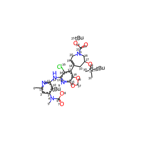 Cc1cc(N(C)C(=O)OC(C)(C)C)cc(Nc2nc3c(c(C4=CCN(C(=O)OC(C)(C)C)CC(O[Si](C)(C)C(C)(C)C)C4)c2Cl)OCO3)n1